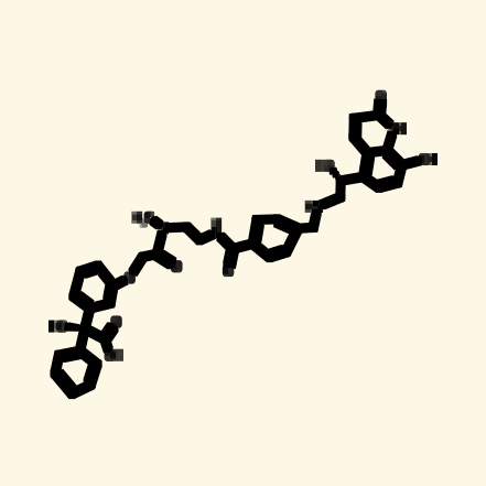 CN(CCNC(=O)c1ccc(CNC[C@H](O)c2ccc(O)c3[nH]c(=O)ccc23)cc1)C(=O)COc1cccc([C@](O)(C(=O)O)c2ccccc2)c1